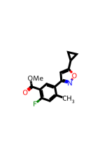 COC(=O)c1cc(-c2cc(C3CC3)on2)c(C)cc1F